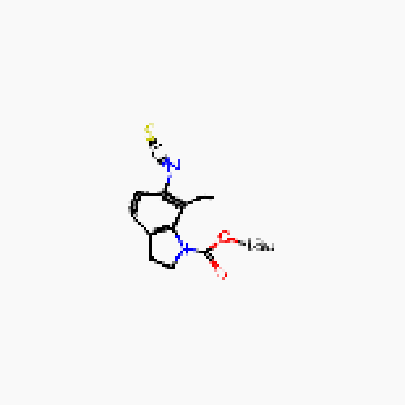 Cc1c(N=C=S)ccc2c1N(C(=O)OC(C)(C)C)CC2